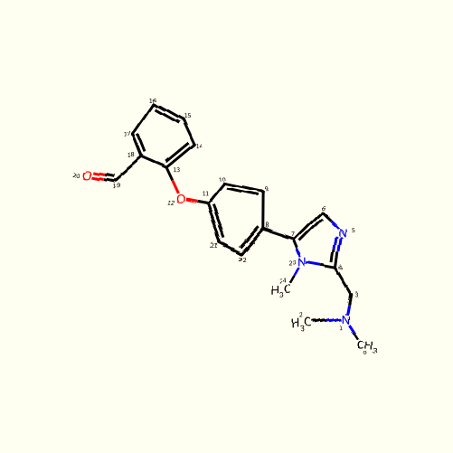 CN(C)Cc1ncc(-c2ccc(Oc3ccccc3C=O)cc2)n1C